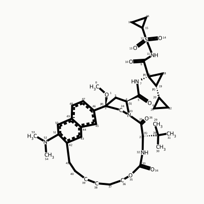 CO[C@@]12C[C@@H](C(=O)N[C@]3(C(=O)NS(=O)(=O)C4CC4)C[C@@H]3C3CC3)N(C1)C(=O)[C@H](C(C)(C)C)NC(=O)OCCCCCCc1cc3cc2ccc3cc1N(C)C